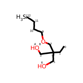 CCC(CO)(CO)COCCC[SiH3]